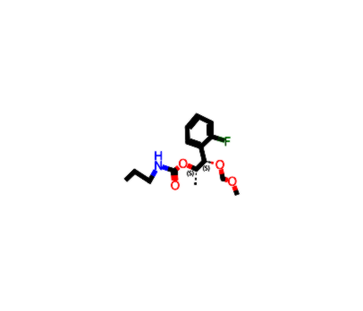 CCCNC(=O)O[C@@H](C)[C@@H](OCOC)c1ccccc1F